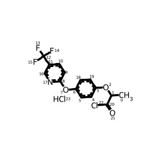 CC(Oc1ccc(Oc2ccc(C(F)(F)F)cn2)cc1)C(=O)Cl.Cl